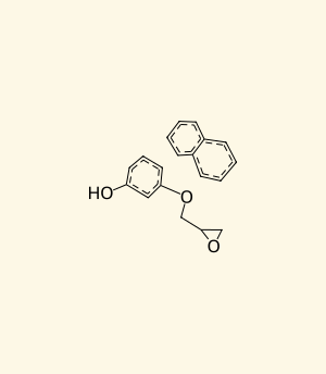 Oc1cccc(OCC2CO2)c1.c1ccc2ccccc2c1